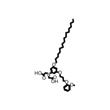 CCCCCCCCCCCCCCCCCCOc1cc(OCCCOc2ccccc2OC)cc(N(CC(=O)O)CC(=O)O)c1